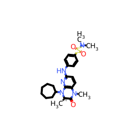 C[C@@H]1C(=O)N(C)c2ccc(Nc3ccc(S(=O)(=O)N(C)C)cc3)nc2N1C1CCCCCC1